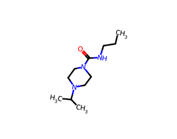 CCCNC(=O)N1CCN(C(C)C)CC1